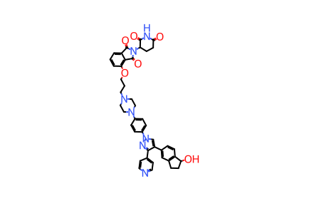 O=C1CCC(N2C(=O)c3cccc(OCCCN4CCN(c5ccc(-n6cc(-c7ccc8c(c7)CCC8O)c(-c7ccncc7)n6)cc5)CC4)c3C2=O)C(=O)N1